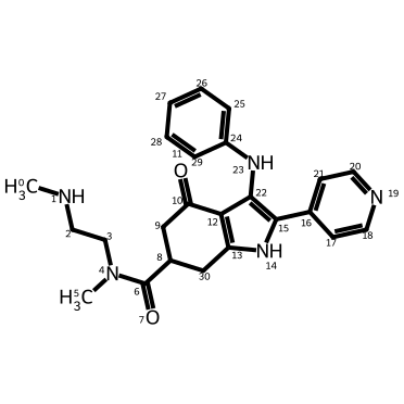 CNCCN(C)C(=O)C1CC(=O)c2c([nH]c(-c3ccncc3)c2Nc2ccccc2)C1